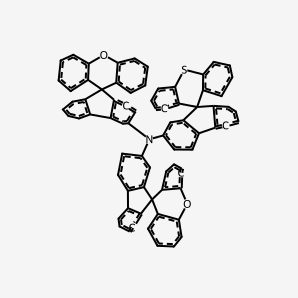 c1ccc2c(c1)Oc1ccccc1C21c2ccccc2-c2cc(N(c3ccc4c(c3)C3(c5ccccc5Oc5ccccc53)c3ccccc3-4)c3ccc4c(c3)C3(c5ccccc5Sc5ccccc53)c3ccccc3-4)ccc21